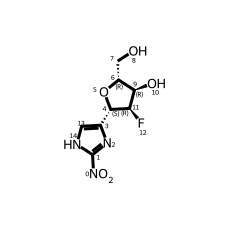 O=[N+]([O-])c1nc([C@@H]2O[C@H](CO)[C@@H](O)[C@H]2F)c[nH]1